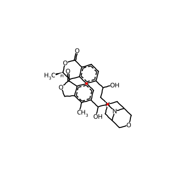 Cc1c(C(O)CN2C3COCC2CN(CC(O)c2ccc4c(c2)C[C@@H](C)OC4=O)C3)ccc2c1COC2=O